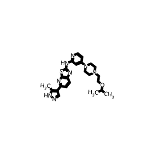 Cc1[nH]ncc1-c1ccc2nc(Nc3cc(N4CCN(CCOC(C)C)CC4)ccn3)sc2n1